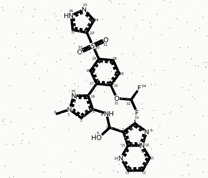 Cn1cc(NC(O)c2cnn3cccnc23)c(-c2cc(S(=O)(=O)c3cn[nH]c3)ccc2OC(F)F)n1